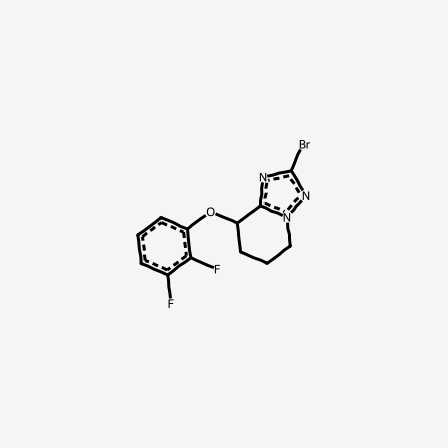 Fc1cccc(OC2CCCn3nc(Br)nc32)c1F